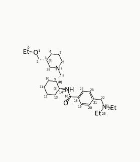 CCOC[C@@H]1CCCN(C[C@H]2CCCC[C@@H]2NC(=O)c2ccc(CN(CC)CC)cc2)C1